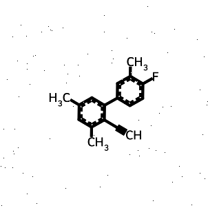 C#Cc1c(C)cc(C)cc1-c1ccc(F)c(C)c1